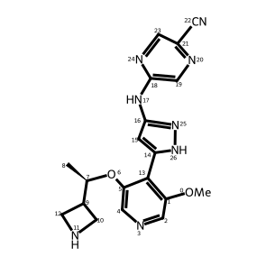 COc1cncc(O[C@H](C)C2CNC2)c1-c1cc(Nc2cnc(C#N)cn2)n[nH]1